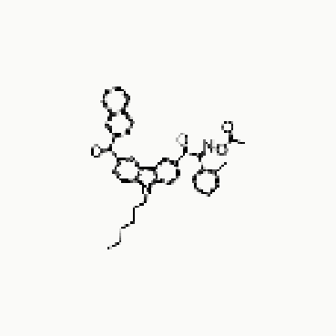 CCCCCCn1c2ccc(C(=O)/C(=N/OC(C)=O)c3ccccc3C)cc2c2cc(C(=O)c3ccc4ccccc4c3)ccc21